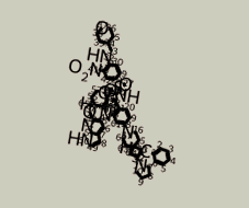 Cc1ccccc1[C@@H]1CCCN1C1CC2(CCN(c3ccc(C(=O)NS(=O)(=O)c4ccc(NCC5CCOCC5)c([N+](=O)[O-])c4)c(N4c5cc6cc[nH]c6nc5O[C@@H]5CCOC[C@H]54)c3)CC2)C1